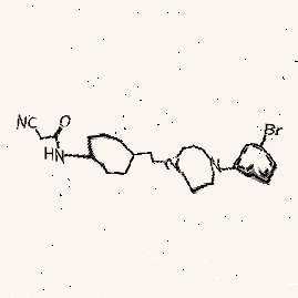 N#CCC(=O)NC1CCC(CCN2CCN(c3cccc(Br)c3)CC2)CC1